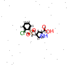 O=C(O)[C@@H]1C[C@@H](CS(=O)(=O)c2ccccc2Cl)CN1